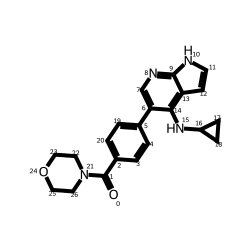 O=C(c1ccc(-c2cnc3[nH]ccc3c2NC2CC2)cc1)N1CCOCC1